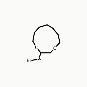 CC[P]C1CCCCCCCCCC1